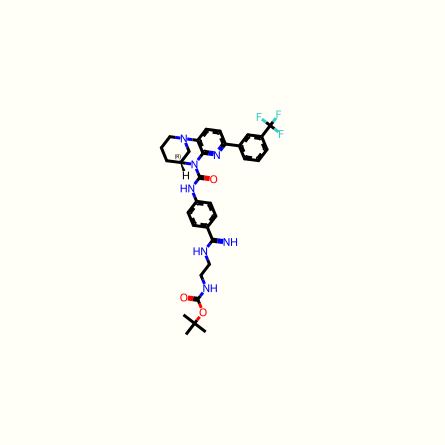 CC(C)(C)OC(=O)NCCNC(=N)c1ccc(NC(=O)N2c3nc(-c4cccc(C(F)(F)F)c4)ccc3N3CCC[C@@H]2C3)cc1